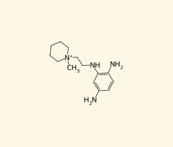 C[N+]1(CCNc2cc(N)ccc2N)CCCCC1